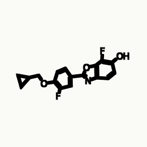 Oc1ccc2nc(-c3ccc(OCC4CC4)c(F)c3)oc2c1F